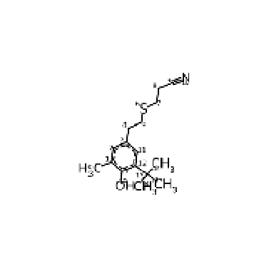 Cc1cc(CCSCCC#N)cc(C(C)(C)C)c1O